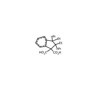 CCCC1(CC)c2ccccc2C(C(=O)O)(C(=O)O)C1(CC)CCC